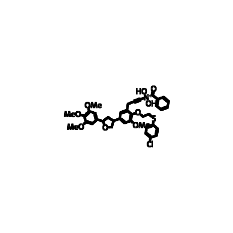 COc1cc(C2COC(c3cc(OC)c(OC)c(OC)c3)C2)cc(CC#C[N+](O)(O)C(=O)c2ccccc2)c1OCCSc1ccc(Cl)cc1